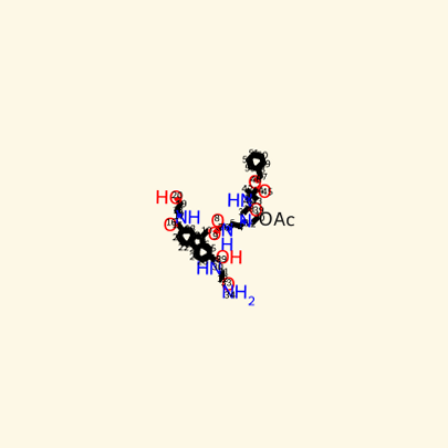 CC(=O)OCCN(CCNC(=O)OCC1c2cc(C(=O)NCCO)ccc2-c2ccc(C(O)NCCON)cc21)CC(=O)NC(C)(C)C(=O)OCc1ccccc1